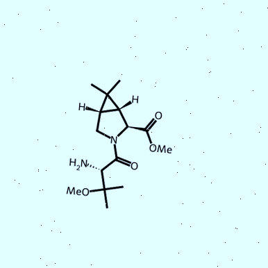 COC(=O)[C@@H]1[C@@H]2[C@H](CN1C(=O)[C@@H](N)C(C)(C)OC)C2(C)C